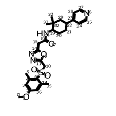 COc1cc(C)c(S(=O)(=O)Cc2nnc(CC(=O)NC3CCC(c4ccncc4)CC3(C)C)o2)c(C)c1